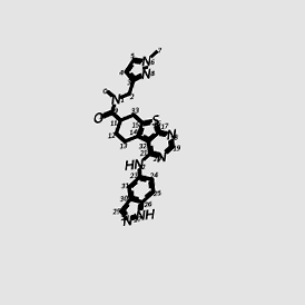 CN(Cc1ccn(C)n1)C(=O)C1CCc2c(sc3ncnc(Nc4ccc5[nH]ncc5c4)c23)C1